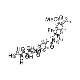 CCOc1cc(C(=O)OC)c(C2CC2)cc1CN1CCN(C(=O)Cc2ccc(C(=O)NC[C@H](O)[C@@H](O)[C@H](O)[C@H](O)CO)cc2)CC1